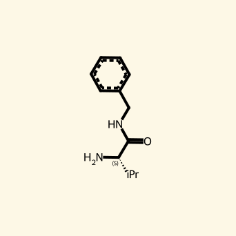 CC(C)[C@H](N)C(=O)NCc1ccccc1